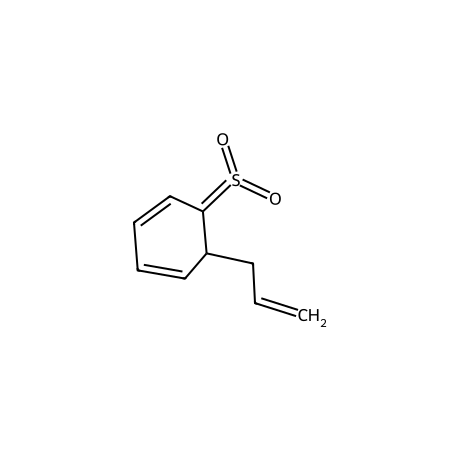 C=CCC1C=CC=CC1=S(=O)=O